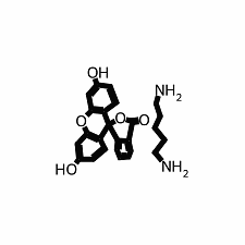 NCCCCCN.O=C1OC2(c3ccc(O)cc3Oc3cc(O)ccc32)c2ccccc21